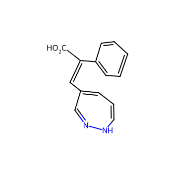 O=C(O)C(=CC1=CC=CNN=C1)c1ccccc1